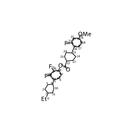 CCC1CCC(c2ccc(OC(=O)C3CCC(c4ccc(OC)cc4F)CC3)c(F)c2F)CC1